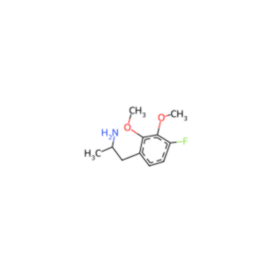 COc1c(F)ccc(CC(C)N)c1OC